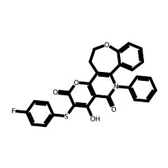 O=c1oc2c3c(n(-c4ccccc4)c(=O)c2c(O)c1Sc1ccc(F)cc1)-c1ccccc1OCC3